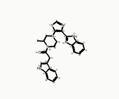 CC1CN(c2scnc2-c2nc3ccccc3[nH]2)CCN1C(=O)Cc1c[nH]c2ccccc12